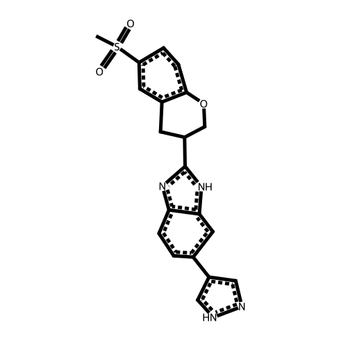 CS(=O)(=O)c1ccc2c(c1)CC(c1nc3ccc(-c4cn[nH]c4)cc3[nH]1)CO2